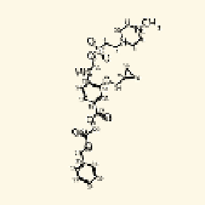 CN1CCN(CCS(=O)(=O)OCNc2ccc(C(=O)OCC(=O)OCc3ccccc3)cc2OCC2CC2)CC1